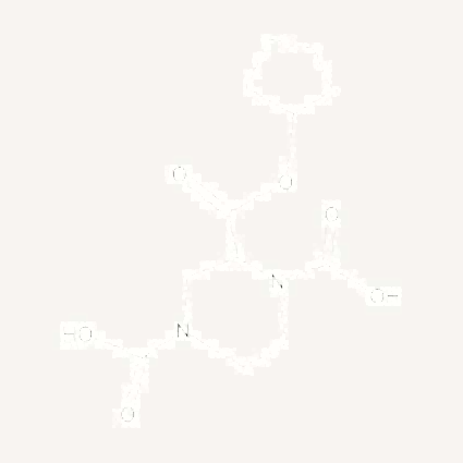 O=C(OC1CCCC1)C1CN(C(=O)O)CCN1C(=O)O